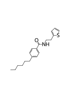 CCCCCCc1ccc(C(=O)NCCc2cccs2)cc1